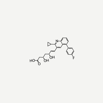 O=C(O)C[C@H](O)C[C@H](O)/C=C/c1cc2c(-c3ccc(F)cc3)cccc2nc1C1CC1